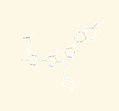 C=C(C)CCc1cc(-c2cnc3c(c2)Sc2cc(-c4ccc5c(c4)CCC(=C)N5)cnc2N3CCN2CCOCC2)ccc1C